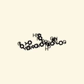 COc1ccc(CN2CCN(C3CC4(CCN(c5ccc(C(=O)NS(=O)(=O)c6ccc(NCC7CCC(OC)CC7)c([N+](=O)[O-])c6)c(Oc6cnc7[nH]ccc7c6)c5)CC4)C3)[C@H](c3ccccc3C(C)C)C2)cc1